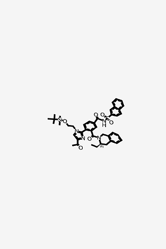 CC[C@@H]1Cc2ccccc2CN1C(=O)c1cc(C(=O)NS(=O)(=O)c2ccc3ccccc3c2)ccc1-c1nc(C(C)=O)cn1CCO[Si](C)(C)C(C)(C)C